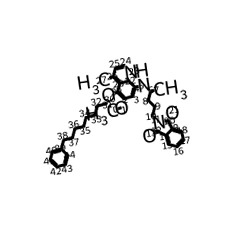 COc1cc(NC(C)CCCN2C(=O)c3ccccc3C2=O)c2nccc(C)c2c1OCCCCCCCCc1ccccc1